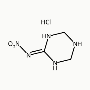 Cl.O=[N+]([O-])N=C1NCNCN1